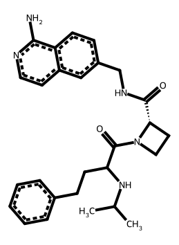 CC(C)NC(CCc1ccccc1)C(=O)N1CC[C@H]1C(=O)NCc1ccc2c(N)nccc2c1